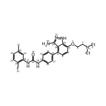 CCN(CC)CCOc1ccc(-c2ccc(NC(=O)Nc3cc(C)ccc3F)cc2)c2c(N)n[nH]c12